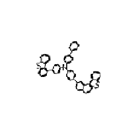 c1ccc(-c2ccc(N(c3ccc(-c4ccc5ccc6sc7ccccc7c6c5c4)cc3)c3ccc(-c4cccc5sc6ccccc6c45)cc3)cc2)cc1